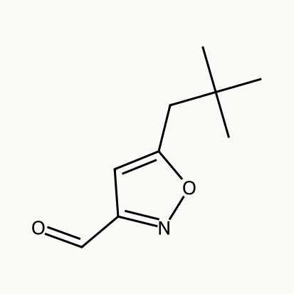 CC(C)(C)Cc1cc(C=O)no1